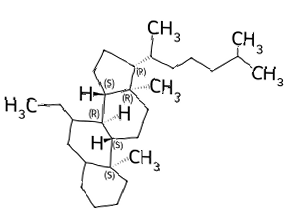 CCC1CC2CCCC[C@]2(C)[C@H]2CC[C@]3(C)[C@@H](C(C)CCCC(C)C)CC[C@H]3[C@H]12